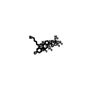 CC(C)(C)NC(=O)C1CC[C@H]2[C@@H]3CN(CCCCBr)C4=CC(=O)CC[C@]4(C)[C@@H]3CC[C@]12C